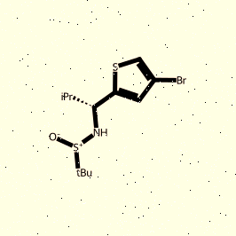 CC(C)[C@@H](N[S+]([O-])C(C)(C)C)c1cc(Br)cs1